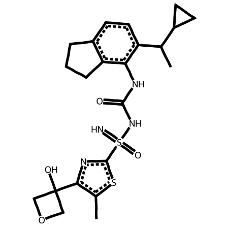 Cc1sc(S(=N)(=O)NC(=O)Nc2c(C(C)C3CC3)ccc3c2CCC3)nc1C1(O)COC1